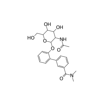 CC(=O)NC1C(Oc2ccccc2-c2cccc(C(=O)N(C)C)c2)OC(CO)C(O)C1O